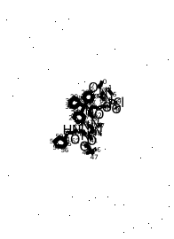 CC(=O)N1CCN(P(=O)(Cl)OCC2CN(C(c3ccccc3)(c3ccccc3)c3ccccc3)CC(n3cnc4c(OC(=O)C(C)(C)C)nc(NC(=O)Cc5ccccc5)nc43)O2)CC1